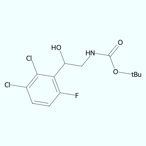 CC(C)(C)OC(=O)NCC(O)c1c(F)ccc(Cl)c1Cl